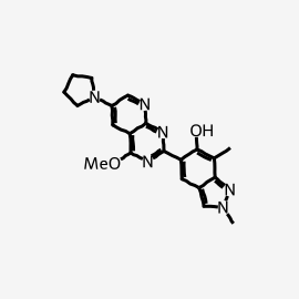 COc1nc(-c2cc3cn(C)nc3c(C)c2O)nc2ncc(N3CCCC3)cc12